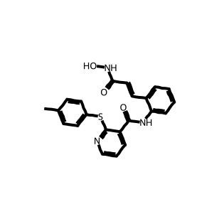 Cc1ccc(Sc2ncccc2C(=O)Nc2ccccc2/C=C/C(=O)NO)cc1